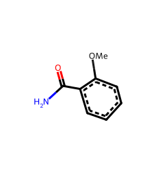 COc1ccccc1C(N)=O